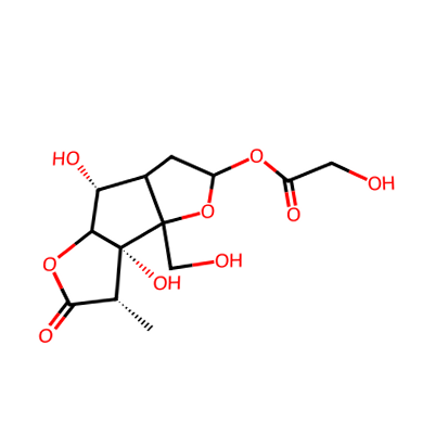 C[C@@H]1C(=O)OC2[C@H](O)C3CC(OC(=O)CO)OC3(CO)[C@]21O